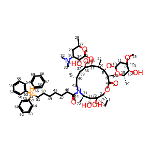 CC[C@H]1OC(=O)[C@H](C)[C@@H](O[C@H]2C[C@@](C)(OC)[C@@H](O)[C@H](C)O2)[C@H](C)[C@@H](O[C@@H]2O[C@H](C)C[C@H](N(C)C)[C@H]2O)[C@](C)(O)C[C@@H](C)CN(C(=O)CCCCCC[PH](c2ccccc2)(c2ccccc2)c2ccccc2)[C@H](C)[C@@H](O)[C@]1(C)O